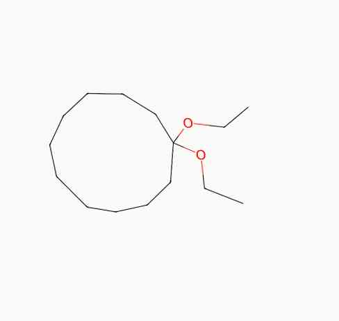 CCOC1(OCC)CCCCCCCCCC1